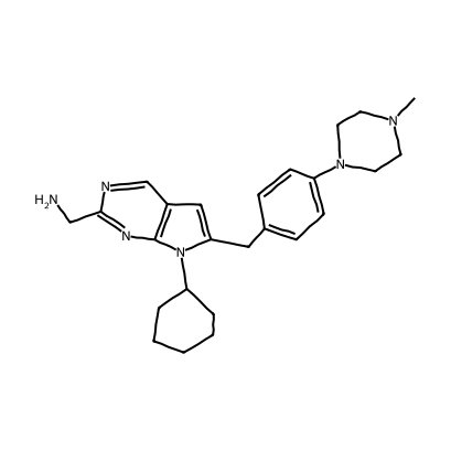 CN1CCN(c2ccc(Cc3cc4cnc(CN)nc4n3C3CCCCC3)cc2)CC1